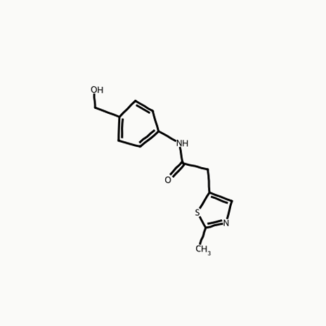 Cc1ncc(CC(=O)Nc2ccc(CO)cc2)s1